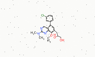 COc1c(CC(O)CO)cc(-c2cccc(Cl)c2)c2cnc(N(C)C)nc12